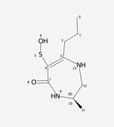 CCCC1=C(SO)C(=O)N[C@H](C)CN1